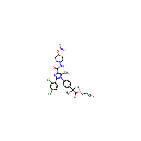 CCCOC(=O)C(C)(C)c1ccc(-n2c(-c3ccc(Cl)cc3Cl)nc(C(=O)NN3CCC(O[N+](=O)[O-])CC3)c2C)cc1